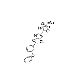 C[C@@H](Oc1ncc(C(=O)NS(=O)(=O)C(C)(C)C)cc1Cl)c1cccc(Oc2ccccc2)c1